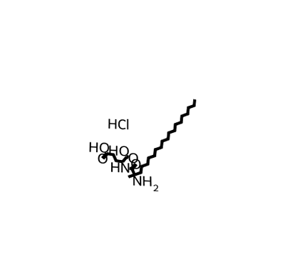 CCCCCCCCCCCCCCCCCCC(C)(N)C(=O)NC(CCC(=O)O)C(=O)O.Cl